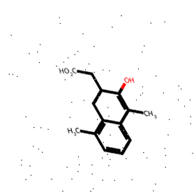 CC1=C(O)C(CC(=O)O)Cc2c(C)cccc21